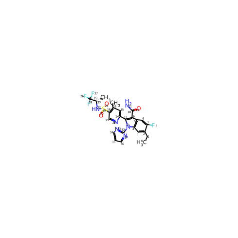 CCc1cc2c(cc1F)c(C(N)=O)c(-c1cc(C)c(S(=O)(=O)N[C@@H](C)C(F)(F)F)cn1)n2-c1ncccn1